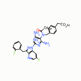 C=C(/N=C(/N)C(=C(N)N)N(Cc1ccc(CC(=O)O)cc1)C(=O)OC)n1nc(Cc2ccccc2F)c2ncc(F)cc21